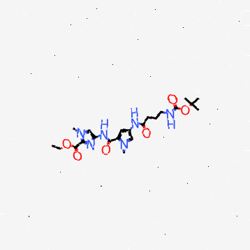 CCOC(=O)c1nc(NC(=O)c2cc(NC(=O)CCCNC(=O)OC(C)(C)C)cn2C)cn1C